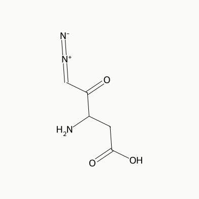 [N-]=[N+]=CC(=O)C(N)CC(=O)O